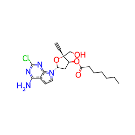 C#C[C@]1(CO)O[C@@H](n2ccc3c(N)nc(Cl)nc32)C[C@@H]1OC(=O)CCCCCC